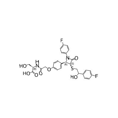 O=C(COc1ccc([C@@H]2[C@H](SCC(O)c3ccc(F)cc3)C(=O)N2c2ccc(F)cc2)cc1)N[C@H](CO)C(=O)O